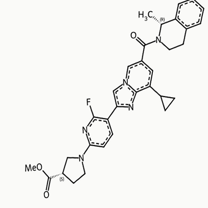 COC(=O)[C@H]1CCN(c2ccc(-c3cn4cc(C(=O)N5CCc6ccccc6[C@H]5C)cc(C5CC5)c4n3)c(F)n2)C1